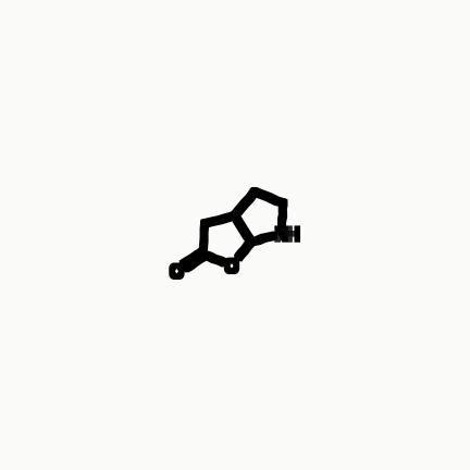 O=C1CC2CCNC2O1